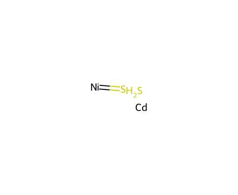 S.[Cd].[S]=[Ni]